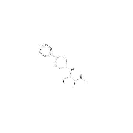 CCCC(C(N)=O)C(CC(C)C)C(=O)N1CCN(c2ccncc2)CC1